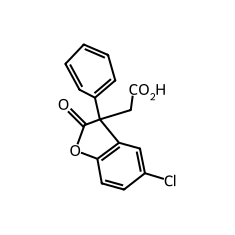 O=C(O)CC1(c2ccccc2)C(=O)Oc2ccc(Cl)cc21